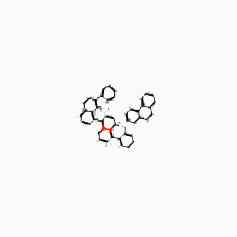 c1ccc(-c2ccccc2N(c2ccc(-c3cccc4ccc5c6ccccc6oc5c34)cc2)c2ccc3c(ccc4ccccc43)c2)cc1